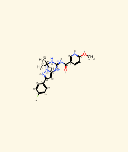 COc1ccc(C(=O)/N=C(\Nc2cc(-c3ccc(F)cc3)n[nH]2)NC(C)(C)C)cn1